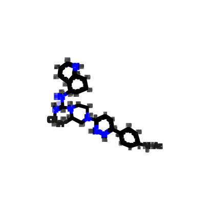 CC(=O)Nc1ccc(-c2ccc(N3CCN(/C(=N\C#N)Nc4cccc5ncccc45)C(C(C)C)C3)nn2)cc1